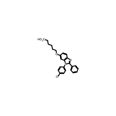 O=C(O)CCCCCOc1ccc2nc(-c3ccccc3)n(-c3ccc(Cl)cc3)c2c1